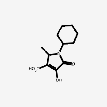 CC1C(C(=O)O)=C(O)C(=O)N1C1CCCCC1